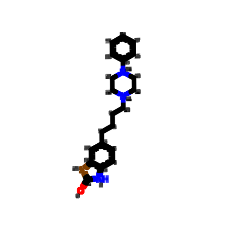 O=c1[nH]c2ccc(CCCCN3CCN(c4ccccc4)CC3)cc2s1